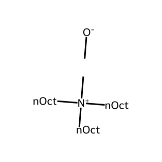 CCCCCCCC[N+](C)(CCCCCCCC)CCCCCCCC.C[O-]